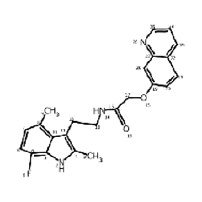 Cc1[nH]c2c(F)ccc(C)c2c1CCNC(=O)COc1ccc2cccnc2c1